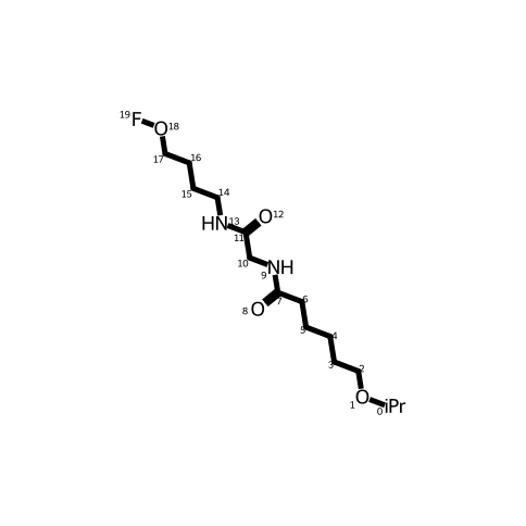 CC(C)OCCCCCC(=O)NCC(=O)NCCCCOF